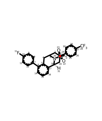 O=C1CC2Cc3c(-c4ccc(F)cc4)cccc3[C@H](C1)N2S(=O)(=O)c1ccc(C(F)(F)F)cc1